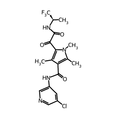 Cc1c(C(=O)Nc2cncc(Cl)c2)c(C)n(C)c1C(=O)C(=O)N[C@H](C)C(F)(F)F